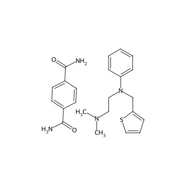 CN(C)CCN(Cc1cccs1)c1ccccc1.NC(=O)c1ccc(C(N)=O)cc1